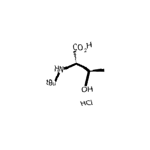 C[C@@H](O)[C@H](NC(C)(C)C)C(=O)O.Cl